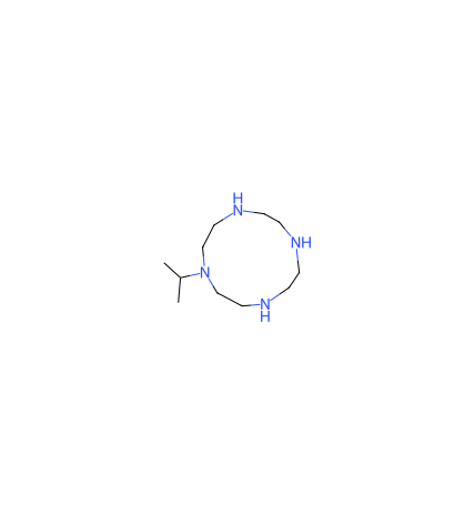 CC(C)N1CCNCCNCCNCC1